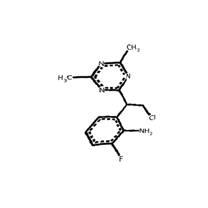 Cc1nc(C)nc(C(CCl)c2cccc(F)c2N)n1